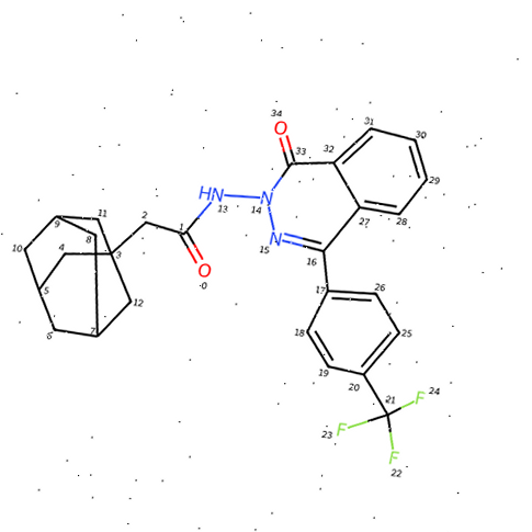 O=C(CC12CC3CC(CC(C3)C1)C2)Nn1nc(-c2ccc(C(F)(F)F)cc2)c2ccccc2c1=O